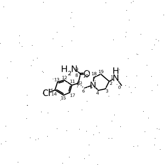 CNC1CCN(C[C@@H](C(N)=O)c2ccc(Cl)cc2)CC1